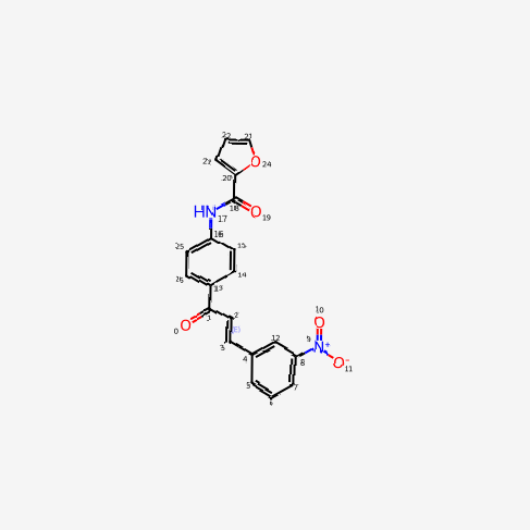 O=C(/C=C/c1cccc([N+](=O)[O-])c1)c1ccc(NC(=O)c2ccco2)cc1